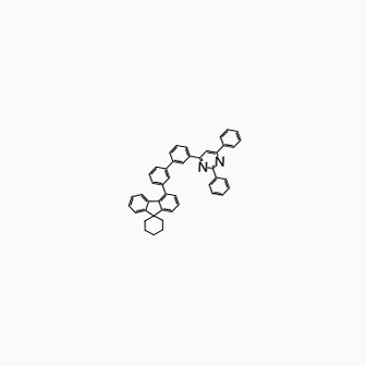 c1ccc(-c2cc(-c3cccc(-c4cccc(-c5cccc6c5-c5ccccc5C65CCCCC5)c4)c3)nc(-c3ccccc3)n2)cc1